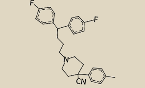 Cc1ccc(C2(C#N)CCN(CCCC(c3ccc(F)cc3)c3ccc(F)cc3)CC2)cc1